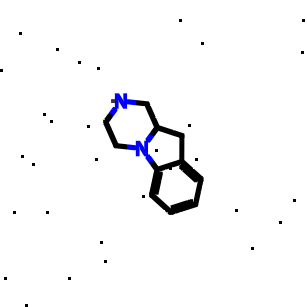 c1ccc2c(c1)CC1C[N]CCN21